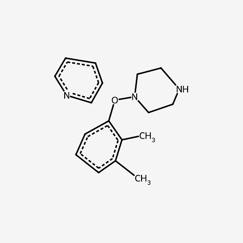 Cc1cccc(ON2CCNCC2)c1C.c1ccncc1